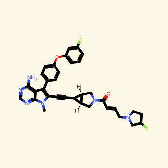 Cn1c(C#CC2[C@H]3CN(C(=O)/C=C/CN4CCC(F)C4)C[C@@H]23)c(-c2ccc(Oc3cccc(F)c3)cc2)c2c(N)ncnc21